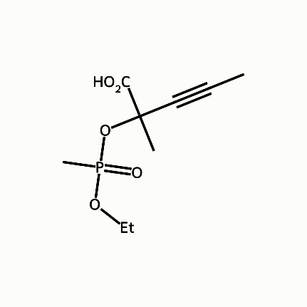 CC#CC(C)(OP(C)(=O)OCC)C(=O)O